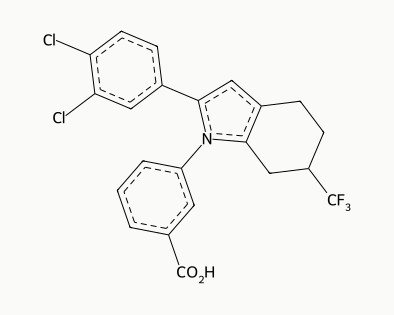 O=C(O)c1cccc(-n2c(-c3ccc(Cl)c(Cl)c3)cc3c2CC(C(F)(F)F)CC3)c1